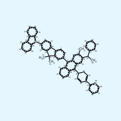 Cc1cc2c(-c3ccc4c(c3)C(C)(C)c3cc(-n5c6ccccc6c6ccccc65)ccc3-4)c3ccccc3c(C3C=CC(c4ccccn4)=CC3)c2cc1C(C)c1ccccc1